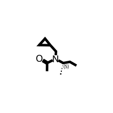 CC[C@H](C)N(CC1CC1)C(C)=O